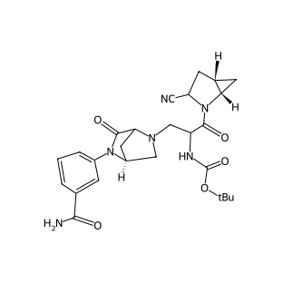 CC(C)(C)OC(=O)NC(CN1C[C@@H]2CC1C(=O)N2c1cccc(C(N)=O)c1)C(=O)N1C(C#N)C[C@@H]2C[C@@H]21